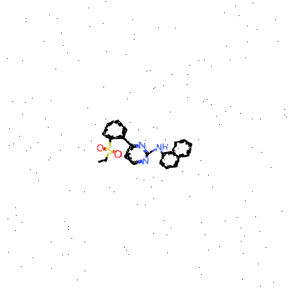 CCS(=O)(=O)c1ccccc1-c1ccnc(Nc2cccc3ccccc23)n1